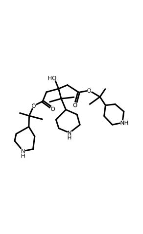 CC(C)(OC(=O)CC(O)(CC(=O)OC(C)(C)C1CCNCC1)C(C)(C)C1CCNCC1)C1CCNCC1